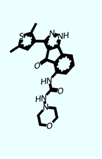 Cc1cc(-c2n[nH]c3c2C(=O)c2c(NC(=O)NN4CCOCC4)cccc2-3)c(C)s1